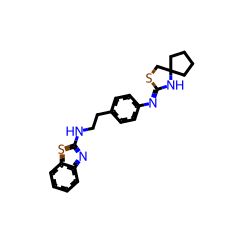 c1ccc2sc(NCCc3ccc(/N=C4/NC5(CCCC5)CS4)cc3)nc2c1